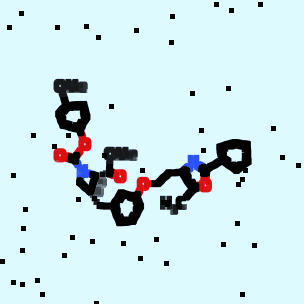 COC(=O)[C@@H]1[C@H](Cc2cccc(OCCc3nc(-c4ccccc4)oc3C)c2)CN1C(=O)Oc1ccc(OC)cc1